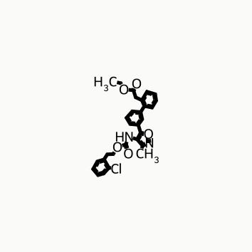 CCOC(=O)Cc1ccccc1-c1cccc(-c2onc(C)c2NC(=O)OCCc2ccccc2Cl)c1